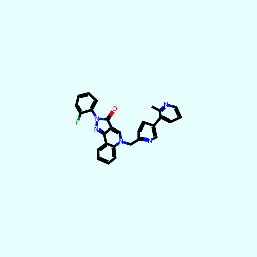 Cc1ncccc1-c1ccc(Cn2cc3c(=O)n(-c4ccccc4F)nc-3c3ccccc32)nc1